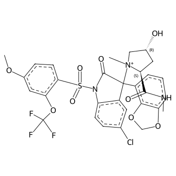 CNC(=O)[C@@H]1C[C@@H](O)C[N+]1(C)C1(c2cccc3c2OCO3)C(=O)N(S(=O)(=O)c2ccc(OC)cc2OC(F)(F)F)c2ccc(Cl)cc21